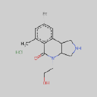 CCc1cc(C)c2c(c1)C1CNCC1N(CCO)C2=O.Cl